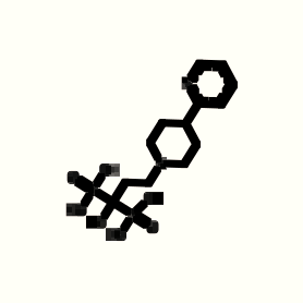 O=P(O)(O)C(O)(CCN1CCC(c2ccccn2)CC1)P(=O)(O)O